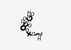 CC(C)(COCCNI)COc1cccc2c1C(=O)N(C1CCC(=O)NC1=O)C2=O